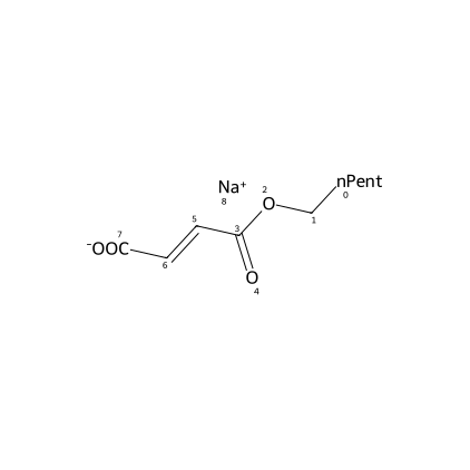 CCCCCCOC(=O)C=CC(=O)[O-].[Na+]